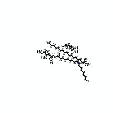 CCCCCCCC/C=C\CCCCCCCC(=O)OC[C@@H](O)[C@H]1OC[C@H](O)[C@H]1O.CCCCCCCCCCCCCCCCCC(=O)O.Cl.OCCO.[NaH]